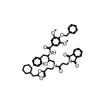 COc1cc(C(=O)NC(Cc2ccccc2)C(O)CN(CCC2=COC(CC3CCCCC3)O2)C(=O)CCN2C(=O)c3ccccc3C2=O)cc(OC)c1OCc1ccccc1